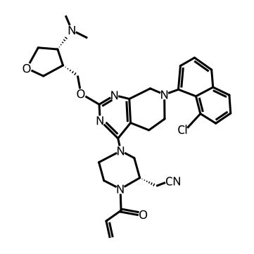 C=CC(=O)N1CCN(c2nc(OC[C@@H]3COC[C@@H]3N(C)C)nc3c2CCN(c2cccc4cccc(Cl)c24)C3)C[C@@H]1CC#N